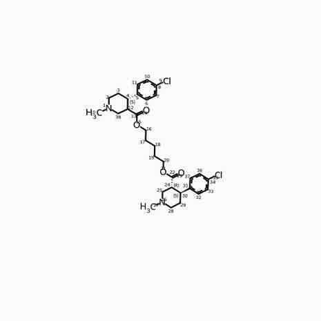 CN1CC[C@H](c2ccc(Cl)cc2)C(C(=O)OCCCCCOC(=O)[C@H]2CN(C)CC[C@@H]2c2ccc(Cl)cc2)C1